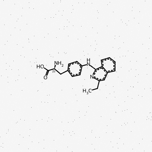 CCc1cc2ccccc2c(Nc2ccc(C[C@H](N)C(=O)O)cc2)n1